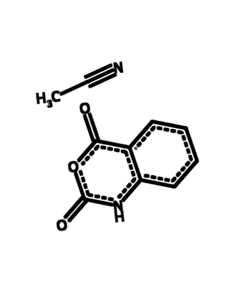 CC#N.O=c1[nH]c2ccccc2c(=O)o1